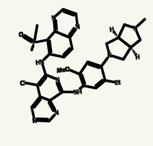 CCc1cc(Nc2nc(Nc3ccc4nccnc4c3P(C)(C)=O)c(Cl)c3cncnc23)c(OC)cc1N1C[C@H]2CN(C)C[C@H]2C1